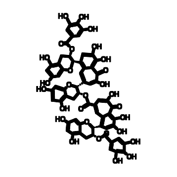 O=C(O[C@@H]1Cc2c(O)cc(O)cc2O[C@@H]1c1cc(O)c(=O)c2c(O)c(O)cc([C@H]3Oc4cc(O)cc(O)c4C[C@H]3OC(=O)c3cc(O)c(O)c(O)c3)c2c1)c1cc(O)c(=O)c2c(O)c(O)cc([C@H]3Oc4cc(O)cc(O)c4C[C@H]3OC(=O)c3cc(O)c(O)c(O)c3)c2c1